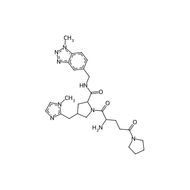 Cn1ccnc1CC1CC(C(=O)NCc2ccc3c(c2)nnn3C)N(C(=O)C(N)CCC(=O)N2CCCC2)C1